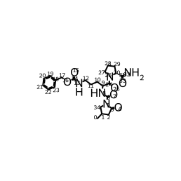 CC1CC(=O)N(C(=O)NC(CCCNC(=O)OCc2ccccc2)C(=O)N2CCC[C@H]2C(N)=O)C1